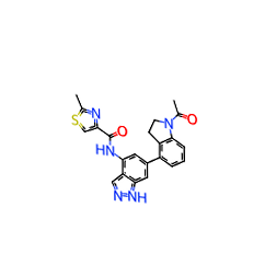 CC(=O)N1CCc2c(-c3cc(NC(=O)c4csc(C)n4)c4cn[nH]c4c3)cccc21